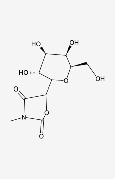 CN1C(=O)OC(C2O[C@H](CO)[C@H](O)[C@H](O)[C@H]2O)C1=O